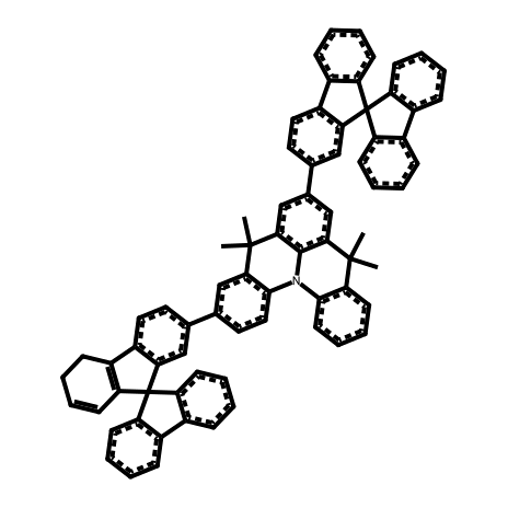 CC1(C)c2ccccc2N2c3ccc(-c4ccc5c(c4)C4(C6=C5CCC=C6)c5ccccc5-c5ccccc54)cc3C(C)(C)c3cc(-c4ccc5c(c4)C4(c6ccccc6-c6ccccc64)c4ccccc4-5)cc1c32